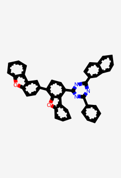 c1ccc(-c2nc(-c3ccc4ccccc4c3)nc(-c3ccc(-c4ccc5oc6ccccc6c5c4)c4oc5ccccc5c34)n2)cc1